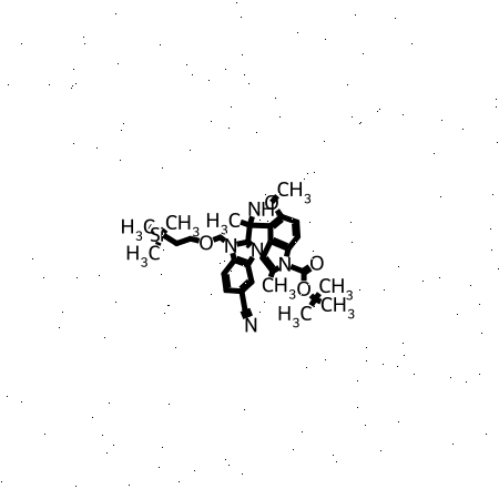 COc1ccc2c(cc(C)n2C(=O)OC(C)(C)C)c1C(C)(N)c1nc2cc(C#N)ccc2n1COCC[Si](C)(C)C